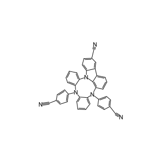 N#Cc1ccc(N2c3ccccc3N(c3ccc(C#N)cc3)c3cccc4c5cc(C#N)ccc5n(c34)-c3ccccc32)cc1